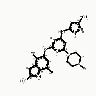 CCN1CCN(c2cc(Nc3cc(C)[nH]n3)nc(Oc3cc(F)c4[nH]c(C)cc4c3F)n2)CC1